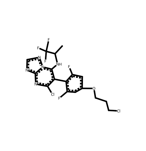 CC(Nc1c(-c2c(F)cc(OCCCCl)cc2F)c(Cl)nc2ncnn12)C(F)(F)F